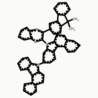 CC1(C)c2ccccc2-c2cc(-c3nc4ccccc4nc3-n3c4cc(-n5c6ccccc6c6c7ccccc7ccc65)ccc4c4c5ccccc5ccc43)ccc21